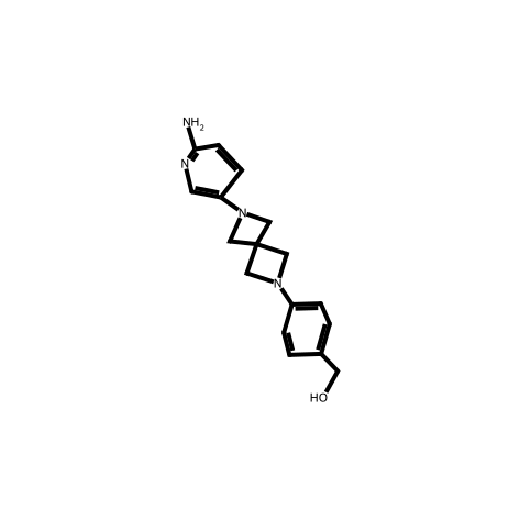 Nc1ccc(N2CC3(CN(c4ccc(CO)cc4)C3)C2)cn1